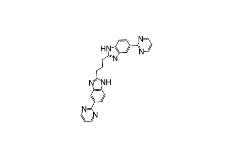 c1cnc(-c2ccc3[nH]c(CCCc4nc5cc(-c6ncccn6)ccc5[nH]4)nc3c2)nc1